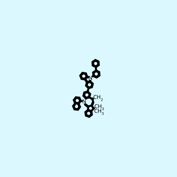 C=C1/C=C2\C(=C/N(c3cccc4ccccc34)c3ccc(-c4ccc5c(c4)c4ccccc4n5-c4cccc(-c5ccccc5)c4)cc31)c1ccccc1C2(C)C